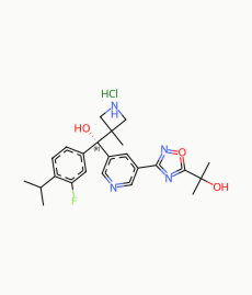 CC(C)c1ccc([C@](O)(c2cncc(-c3noc(C(C)(C)O)n3)c2)C2(C)CNC2)cc1F.Cl